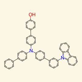 Oc1ccc(-c2ccc(N(c3ccc(-c4ccccc4)cc3)c3ccc(-c4cccc(-n5c6ccccc6c6ccccc65)c4)cc3)cc2)cc1